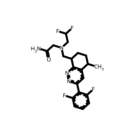 CC1CCC(CN(CC(N)=O)CC(F)F)c2nnc(-c3c(F)cccc3F)cc21